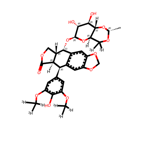 [2H]C([2H])([2H])Oc1cc([C@@H]2c3cc4c(cc3[C@@H](O[C@@H]3O[C@H]5[C@@H](O[C@H](C)OC5([2H])[2H])[C@H](O)[C@H]3O)[C@H]3COC(=O)[C@H]23)OCO4)cc(OC([2H])([2H])[2H])c1O